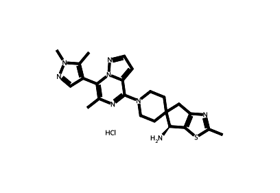 Cc1nc2c(s1)[C@@H](N)C1(CCN(c3nc(C)c(-c4cnn(C)c4C)n4nccc34)CC1)C2.Cl